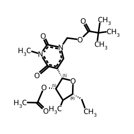 CC[C@H]1O[C@@H](c2cn(COC(=O)C(C)(C)C)c(=O)n(C)c2=O)[C@@H](OC(C)=O)C1C